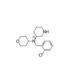 Clc1ccccc1CN(C1CCOCC1)[C@H]1CCCNC1